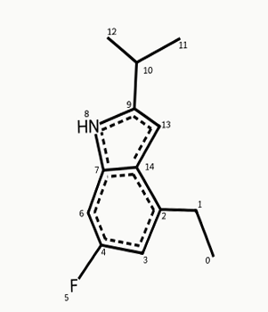 CCc1cc(F)cc2[nH]c(C(C)C)cc12